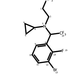 NCCN(C1CC1)C(c1cccc(Br)c1F)C(F)(F)F